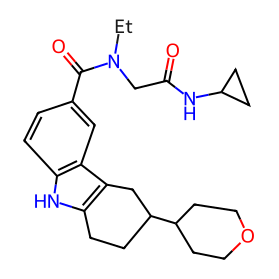 CCN(CC(=O)NC1CC1)C(=O)c1ccc2[nH]c3c(c2c1)CC(C1CCOCC1)CC3